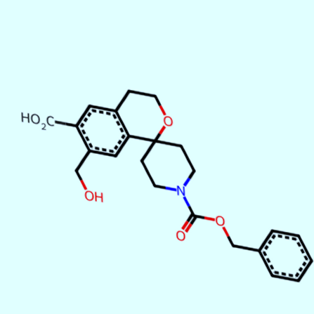 O=C(O)c1cc2c(cc1CO)C1(CCN(C(=O)OCc3ccccc3)CC1)OCC2